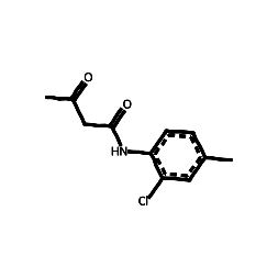 CC(=O)CC(=O)Nc1ccc(C)cc1Cl